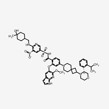 COc1nc2[nH]ccc2cc1Oc1cc(N2CCC3(CC2)CC(N2CCOC[C@H]2c2ccccc2C(C)C)C3)ccc1C(=O)NS(=O)(=O)c1cnc(NCC2CCC(C)(O)CC2)c([N+](=O)[O-])c1